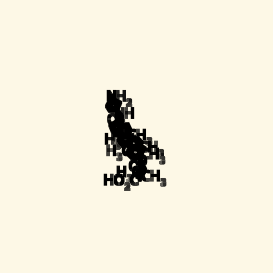 CC(C)(CC(=O)O)CC(=O)O[C@H]1CC[C@@]2(C)C(CC[C@]3(C)C2CC[C@@H]2[C@H]4CCC[C@]4(CC(=O)N[C@@H]4CC[C@H](N)C4)CC[C@]23C)C1(C)C